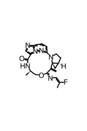 C=C1/C(=N\C=C(/C)F)OC[C@@H](C)NC(=O)c2cnc3ccc(nn23)N2CC[C@H]3C[C@]132